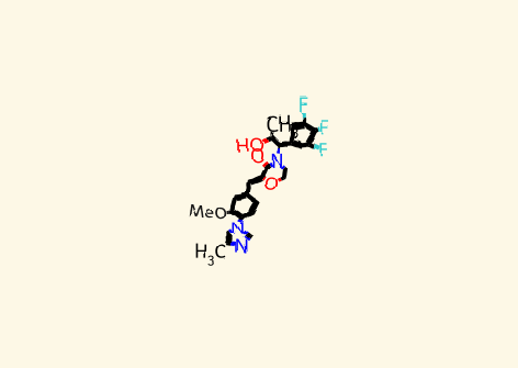 COc1cc(C=C2OCCN([C@H](c3cc(F)c(F)c(F)c3)[C@@H](C)O)C2=O)ccc1-n1cnc(C)c1